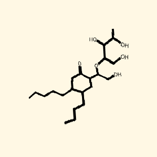 CCCCCC1CC(=O)C(C(CO)OC(CO)C(O)C(C)O)CC1CCCC